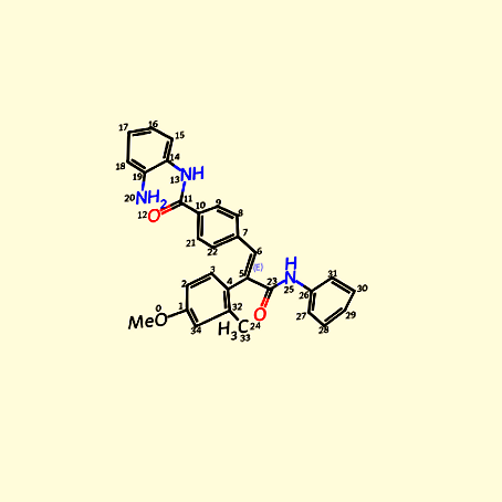 COc1ccc(/C(=C\c2ccc(C(=O)Nc3ccccc3N)cc2)C(=O)Nc2ccccc2)c(C)c1